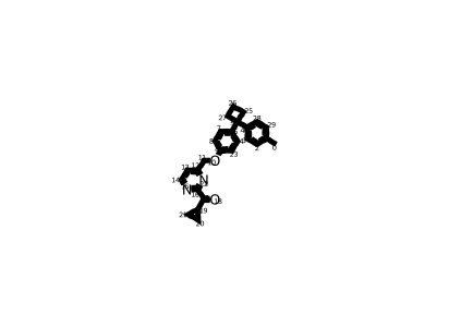 Cc1ccc(C2(c3ccc(OCc4ccnc(C(=O)C5CC5)n4)cc3)CCC2)cc1